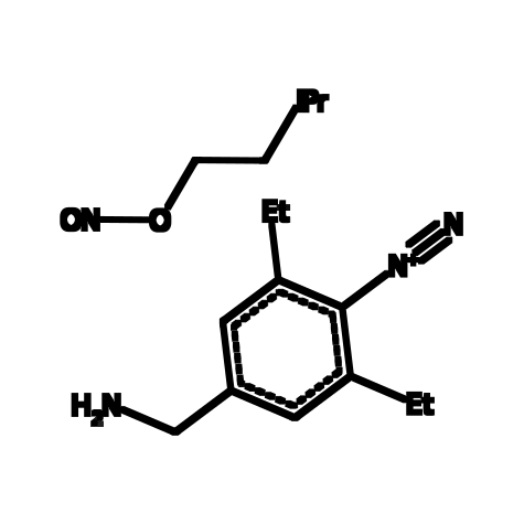 CC(C)CCON=O.CCc1cc(CN)cc(CC)c1[N+]#N